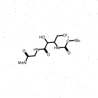 CNC(=O)CNC(=O)C(O)C(CC(F)(F)F)NC(=O)OC(C)(C)C